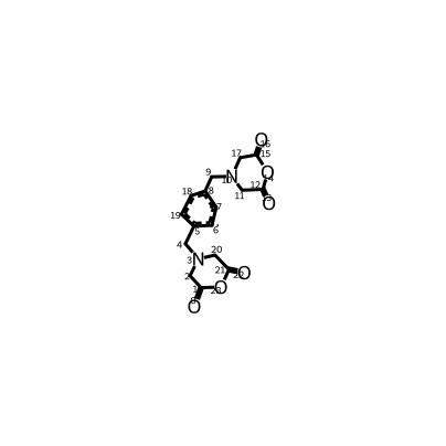 O=C1CN(Cc2[c][c]c(CN3CC(=O)OC(=O)C3)cc2)CC(=O)O1